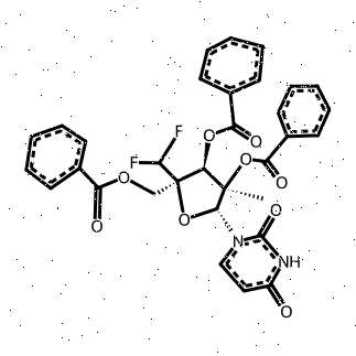 C[C@]1(OC(=O)c2ccccc2)[C@H](n2ccc(=O)[nH]c2=O)O[C@@](COC(=O)c2ccccc2)(C(F)F)[C@H]1OC(=O)c1ccccc1